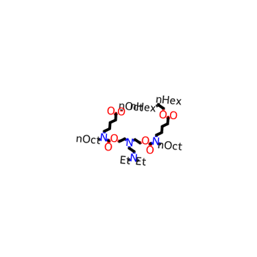 CCCCCCCCOC(=O)CCCCN(CCCCCCCC)C(=O)OCCN(CCOC(=O)N(CCCCCCCC)CCCCC(=O)OCC(CCCCCC)CCCCCC)CCN(CC)CC